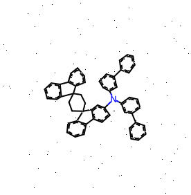 c1ccc(-c2cccc(N(c3cccc(-c4ccccc4)c3)c3ccc4c(c3)C3(CCC5(CC3)c3ccccc3-c3ccccc35)c3ccccc3-4)c2)cc1